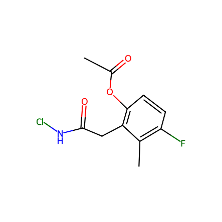 CC(=O)Oc1ccc(F)c(C)c1CC(=O)NCl